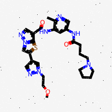 COCCn1cc(-c2cn3ncc(C(=O)Nc4cc(NC(=O)CCCN5CCCC5)cnc4C)c3s2)cn1